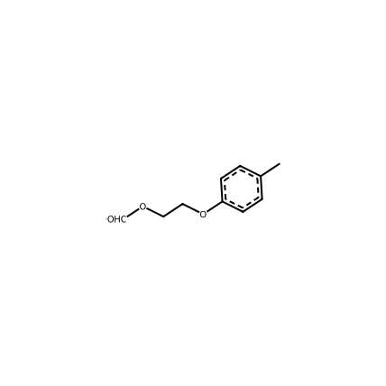 Cc1ccc(OCCO[C]=O)cc1